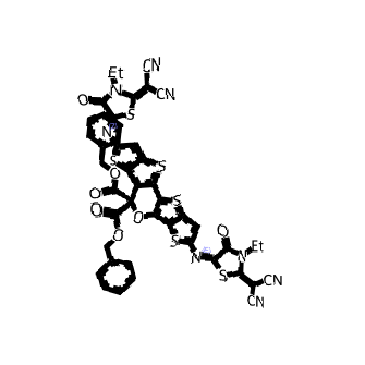 CCN1C(=O)/C(=N/c2cc3sc4c(c3s2)C(C(=O)OCc2ccccc2)(C(=O)OCc2ccccc2)Oc2c-4sc3cc(/N=C4/SC(=C(C#N)C#N)N(CC)C4=O)sc23)SC1=C(C#N)C#N